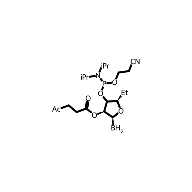 B[C@@H]1O[C@H](CC)C(OP(OCCC#N)N(C(C)C)C(C)C)[C@@H]1OC(=O)CCC(C)=O